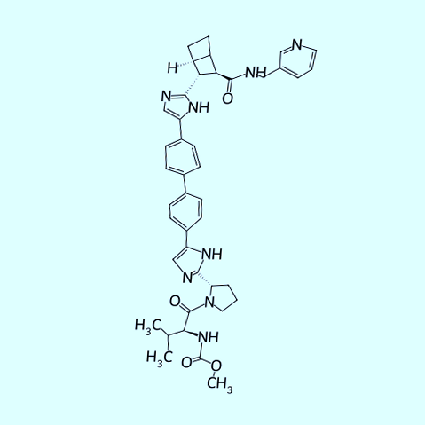 COC(=O)N[C@H](C(=O)N1CCC[C@H]1c1ncc(-c2ccc(-c3ccc(-c4cnc([C@H]5[C@H](C(=O)NCc6cccnc6)C6CC[C@@H]65)[nH]4)cc3)cc2)[nH]1)C(C)C